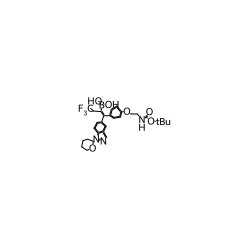 CC(C)(C)OC(=O)NCCOc1ccc(/C(=C(/CC(F)(F)F)B(O)O)c2ccc3c(cnn3C3CCCCO3)c2)cc1